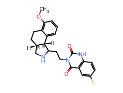 COc1cccc2c1CC[C@H]1CNC(CCn3c(=O)[nH]c4ccc(F)cc4c3=O)[C@@H]21